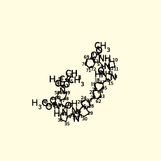 COC(=O)NC(C(=O)N1CCCC1c1ncc(-c2ccc3cc(-c4ccc5c(c4)CCc4nc(C6CCCN6C(=O)C(NC(=O)OC)C6CCN(C(=O)OC(C)(C)C)CC6)[nH]c4-5)ccc3c2)[nH]1)c1ccccc1